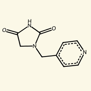 O=C1CN(Cc2ccncc2)C(=O)N1